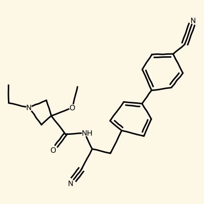 CCN1CC(OC)(C(=O)NC(C#N)Cc2ccc(-c3ccc(C#N)cc3)cc2)C1